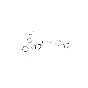 CNC(=O)[C@@H]1CC[C@H](n2c(-c3cc(I)c(OC)c(OC)c3)nc3ccc(C(=O)NCCCN4CCN(c5ccccc5)CC4)cc32)C1